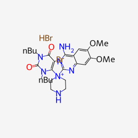 Br.CCCCn1c([N+]2(c3nc(N)c4cc(OC)c(OC)cc4n3)CCNCC2)c(Br)c(=O)n(CCCC)c1=O